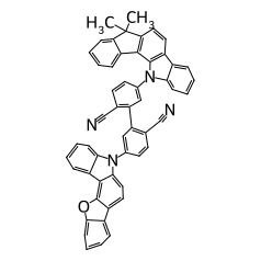 CC1(C)c2ccccc2-c2c1ccc1c3ccccc3n(-c3ccc(C#N)c(-c4cc(-n5c6ccccc6c6c7oc8ccccc8c7ccc65)ccc4C#N)c3)c21